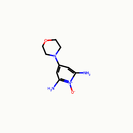 Nc1cc(N2CCOCC2)cc(N)[n+]1[O-]